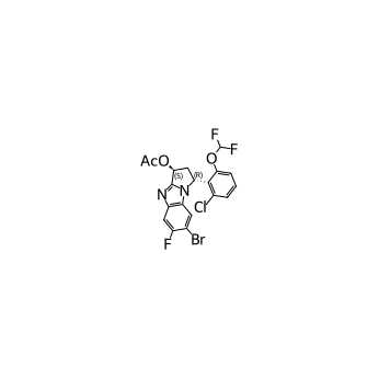 CC(=O)O[C@H]1C[C@H](c2c(Cl)cccc2OC(F)F)n2c1nc1cc(F)c(Br)cc12